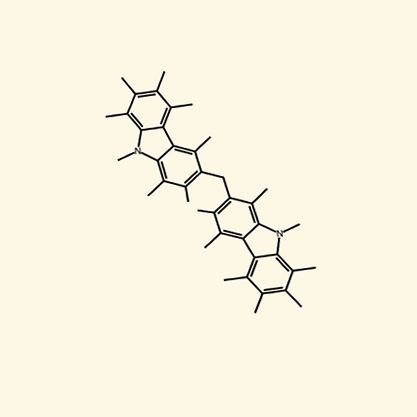 Cc1c(C)c(C)c2c(c1C)c1c(C)c(Cc3c(C)c(C)c4c5c(C)c(C)c(C)c(C)c5n(C)c4c3C)c(C)c(C)c1n2C